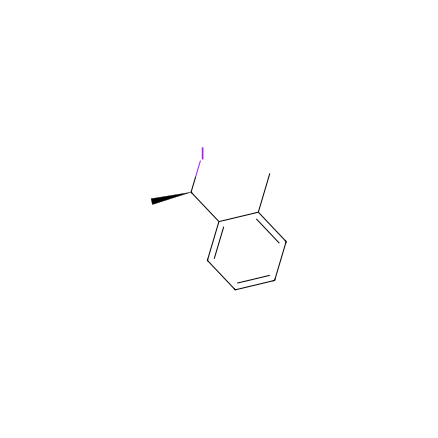 Cc1ccccc1[C@@H](C)I